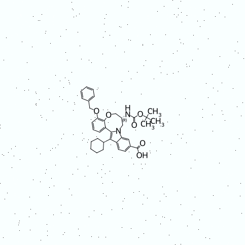 CC(C)(C)OC(=O)N[C@H]1COc2c(OCc3ccccc3)cccc2-c2c(C3CCCCC3)c3ccc(C(=O)O)cc3n2C1